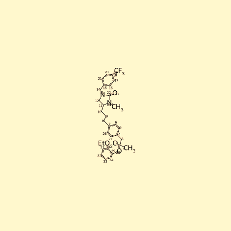 CCOC(=O)C(C)(Cc1ccc(CCCC2CN(Cc3ccc(C(F)(F)F)cc3)C(=O)N2C)cc1)Oc1ccccc1